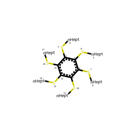 CCCCCCCSc1c(SCCCCCCC)c(SCCCCCCC)c(SCCCCCCC)c(SCCCCCCC)c1SCCCCCCC